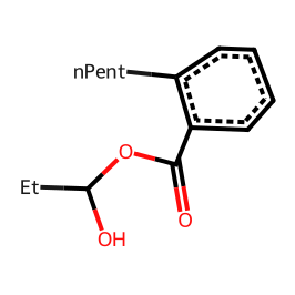 CCCCCc1ccccc1C(=O)OC(O)CC